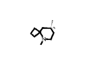 C[C@@H]1CCN(C)C2(CCC2)C1